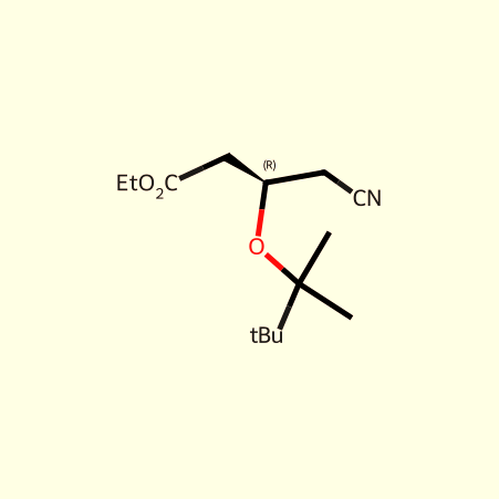 CCOC(=O)C[C@@H](CC#N)OC(C)(C)C(C)(C)C